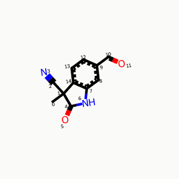 CC1(C#N)C(=O)Nc2cc(C=O)ccc21